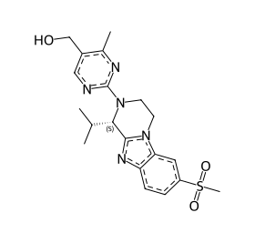 Cc1nc(N2CCn3c(nc4ccc(S(C)(=O)=O)cc43)[C@@H]2C(C)C)ncc1CO